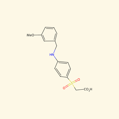 COc1cccc(CNc2ccc(S(=O)(=O)CC(=O)O)cc2)c1